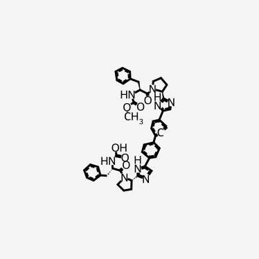 COC(=O)N[C@@H](Cc1ccccc1)C(=O)N1CCC[C@H]1c1ncc(-c2ccc(-c3ccc(-c4cnc([C@@H]5CCCN5C(=O)[C@H](Cc5ccccc5)NC(=O)O)[nH]4)cc3)cc2)[nH]1